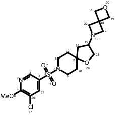 COc1ncc(S(=O)(=O)N2CCC3(CC2)CC(N2CC4(COC4)C2)CO3)cc1Cl